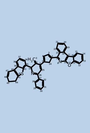 C=C1C(C2=CC=C(c3nc4oc5ccccc5c4c4ccccc34)C2)=CC(c2ccccc2)=NC1c1cccc2c3c(sc12)CCC=C3